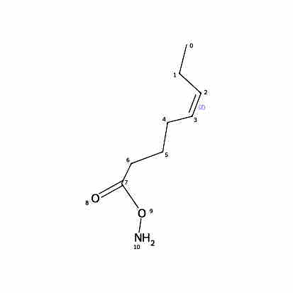 CC/C=C\CCCC(=O)ON